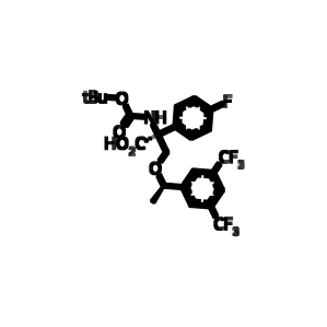 C[C@@H](OC[C@](NC(=O)OC(C)(C)C)(C(=O)O)c1ccc(F)cc1)c1cc(C(F)(F)F)cc(C(F)(F)F)c1